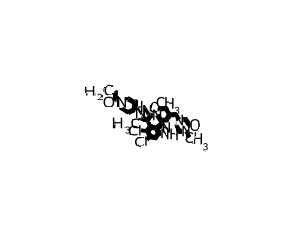 C=CC(=O)N1CCC(n2nc(N3CCC(CN4CCN(C)C(=O)C4)CC3(C)C)c(-c3c(Cl)c(Cl)cc4[nH]ncc34)c2C)CC1